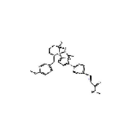 CNC(=O)/C=C/c1ccc(-c2ccc([C@]3(OC(C)=O)C(Cc4ccc(OC)cc4)CCCS3(=O)=O)s2)cc1